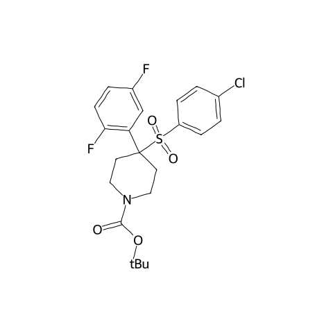 CC(C)(C)OC(=O)N1CCC(c2cc(F)ccc2F)(S(=O)(=O)c2ccc(Cl)cc2)CC1